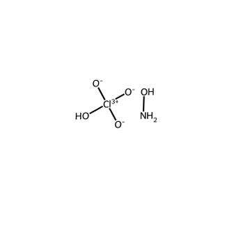 NO.[O-][Cl+3]([O-])([O-])O